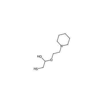 OC(CS)OCCN1CCCCC1